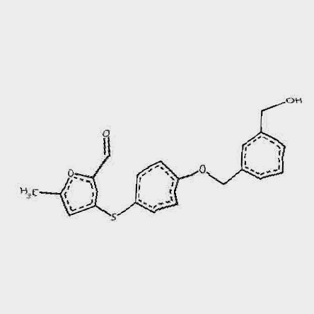 Cc1cc(Sc2ccc(OCc3cccc(CO)c3)cc2)c(C=O)o1